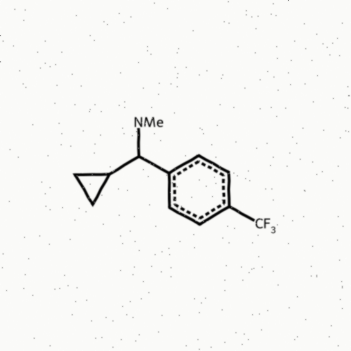 CNC(c1ccc(C(F)(F)F)cc1)C1CC1